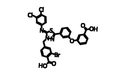 O=C(O)c1cccc(Oc2cccc(-c3nn(Cc4ccc(C(=O)O)c(Br)c4)/c(=N/c4ccc(Cl)c(Cl)c4)s3)c2)c1